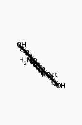 CCCCCCCCC=CCCCCCCCCN.OCCOCCOCCOCCOCCOCCOCCOCCOCCOCCO